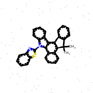 CC1(C)c2ccccc2-c2c1c1ccccc1c1c2c2ccccc2n1-c1nc2ccccc2s1